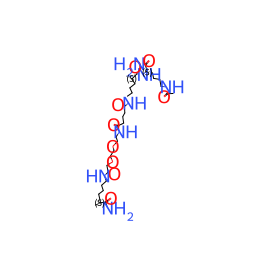 CC(=O)NCCCC[C@H](NC(=O)[C@@H](C)CCCCNC(=O)CCCC(=O)NCCOCCOCC(=O)NCCCC[C@H](C)C(N)=O)C(N)=O